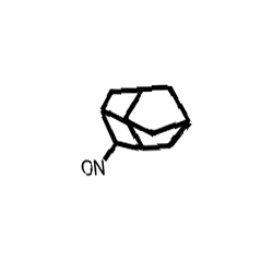 O=NC1C2CC3CC(C2)CC1C3